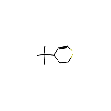 CC(C)(C)C1C=CSCC1